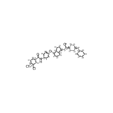 O=C(Nc1ccc(Oc2cccc3c2ccn3CC(=O)N2CCN(Cc3ccccc3)CC2)nc1)c1ccc(Cl)c(Cl)c1